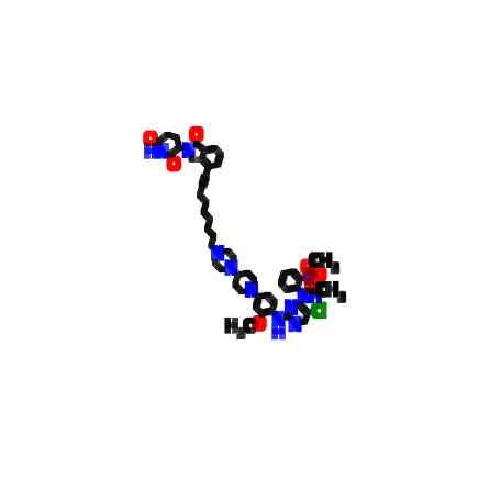 COc1cc(N2CCC(N3CCN(CCCCCCCC#Cc4cccc5c4CN(C4CCC(=O)NC4=O)C5=O)CC3)CC2)ccc1Nc1ncc(Cl)c(Nc2ccccc2P(=O)(OC)OC)n1